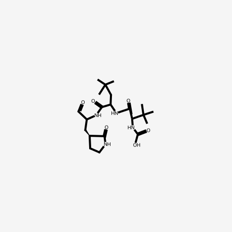 CC(C)(C)CC(NC(=O)C(NC(=O)O)C(C)(C)C)C(=O)NC(C=O)C[C@@H]1CCNC1=O